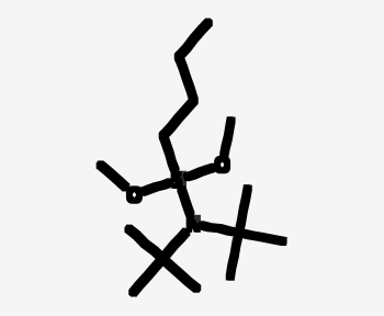 CCCC[Si](OC)(OC)N(C(C)(C)C)C(C)(C)C